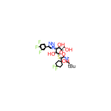 CN(CCC(C)(C)C)C(=O)[C@@H](S[C@@H]1O[C@H](CO)[C@H](O)[C@H](n2cc(-c3cc(F)c(F)c(F)c3)nn2)[C@H]1O)C1(O)CCC(F)(F)CC1